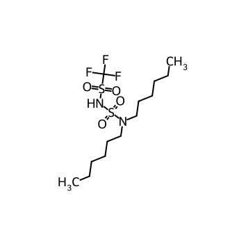 CCCCCCN(CCCCCC)S(=O)(=O)NS(=O)(=O)C(F)(F)F